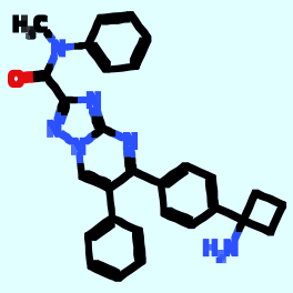 CN(C(=O)c1nc2nc(-c3ccc(C4(N)CCC4)cc3)c(-c3ccccc3)cn2n1)c1ccccc1